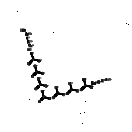 Br.F.O=[Si]([O-])[O-].O=[Si]([O-])[O-].O=[Si]([O-])[O-].O=[Si]([O-])[O-].O=[Si]([O-])[O-].O=[Si]([O-])[O-].O=[Si]([O-])[O-].[Al+3].[Al+3].[K+].[K+].[Na+].[Na+].[Zn+2].[Zn+2]